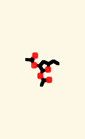 CCC1CC(OC(C)=O)C(OC(C)=O)O1